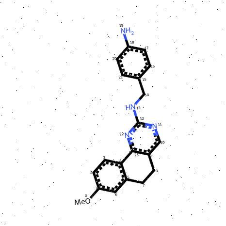 COc1ccc2c(c1)CCc1cnc(NCc3ccc(N)cc3)nc1-2